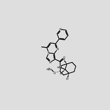 CCCCO[C@H]1C[C@H]2CCC[C@@H](C1)[C@H]2NC(=O)c1ncn2c(C)cc(-c3cccnc3)nc12